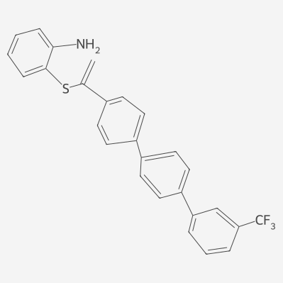 C=C(Sc1ccccc1N)c1ccc(-c2ccc(-c3cccc(C(F)(F)F)c3)cc2)cc1